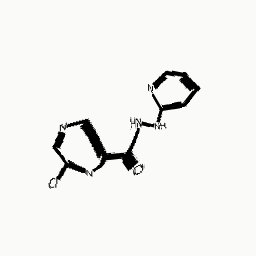 O=C(NNc1ccccn1)c1cncc(Cl)n1